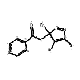 O=C(CC1(Br)N=NC(Br)=C1Br)c1ccccc1